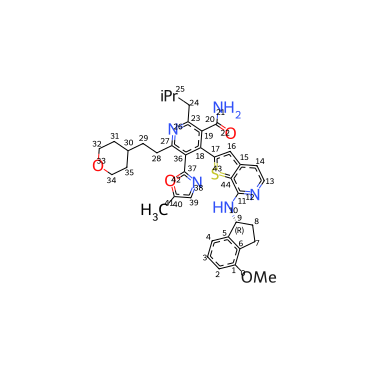 COc1cccc2c1CC[C@H]2Nc1nccc2cc(-c3c(C(N)=O)c(CC(C)C)nc(CCC4CCOCC4)c3-c3ncc(C)o3)sc12